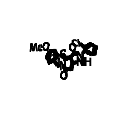 COc1ccc(Cn2c(C)c3c(=O)n(-c4ccccc4Cl)[nH]c3cc2=O)cc1